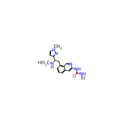 CCNC(=O)Nc1cc2cccc(CC(NC(=O)O)c3ccn(C)n3)c2cn1